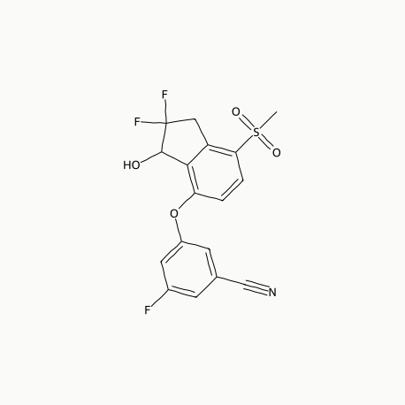 CS(=O)(=O)c1ccc(Oc2cc(F)cc(C#N)c2)c2c1CC(F)(F)C2O